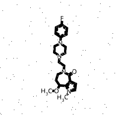 COC1CCN(CCN2CCN(c3ccc(F)cc3)CC2)C(=O)c2ccn(C)c21